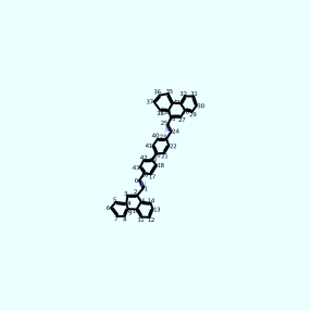 C(=C\c1cc2ccccc2c2ccccc12)/c1ccc(-c2ccc(/C=C/c3cc4ccccc4c4ccccc34)cc2)cc1